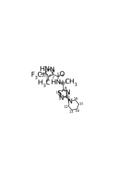 Cc1c(C(=O)N[C@H](C)c2nc(N3CCCCC3)ns2)n[nH]c1C(F)(F)F